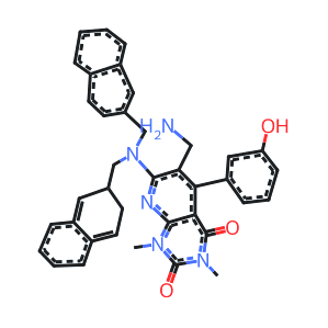 Cn1c(=O)c2c(-c3cccc(O)c3)c(CN)c(N(Cc3ccc4ccccc4c3)CC3C=c4ccccc4=CC3)nc2n(C)c1=O